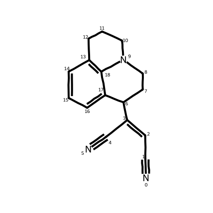 N#CC=C(C#N)C1CCN2CCCc3cccc1c32